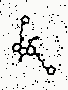 CCCOc1cc(OCCCN2CCCC2)cc2c1-c1c(OCCCN3CCCC3)cccc1C2=O